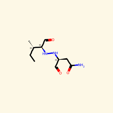 CC[C@H](C)[C@@H](C=O)NN[C@H](C=O)CC(N)=O